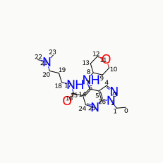 CCn1ncc2c(NC3CCOCC3)c(C(=O)NCCCN(C)C)cnc21